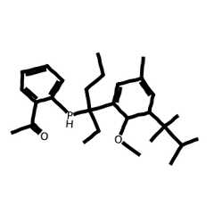 CCCC(CC)(Pc1ccccc1C(C)=O)C1=CC(C)=CC(C(C)(C)C(C)C)C1OC